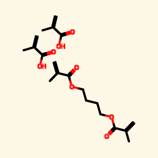 C=C(C)C(=O)O.C=C(C)C(=O)O.C=C(C)C(=O)OCCCCOC(=O)C(=C)C